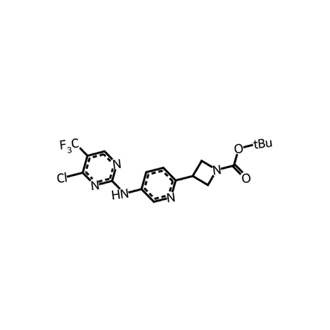 CC(C)(C)OC(=O)N1CC(c2ccc(Nc3ncc(C(F)(F)F)c(Cl)n3)cn2)C1